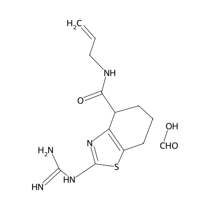 C=CCNC(=O)C1CCCc2sc(NC(=N)N)nc21.O=CO